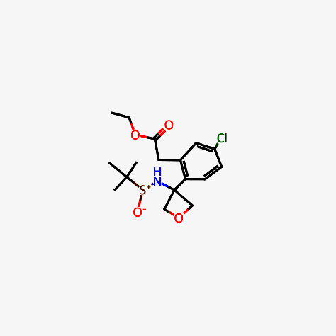 CCOC(=O)Cc1cc(Cl)ccc1C1(N[S+]([O-])C(C)(C)C)COC1